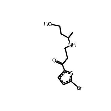 CC(CCO)NCCC(=O)c1ccc(Br)s1